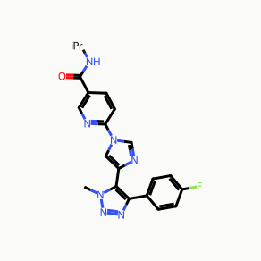 CC(C)NC(=O)c1ccc(-n2cnc(-c3c(-c4ccc(F)cc4)nnn3C)c2)nc1